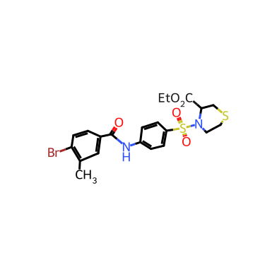 CCOC(=O)C1CSCCN1S(=O)(=O)c1ccc(NC(=O)c2ccc(Br)c(C)c2)cc1